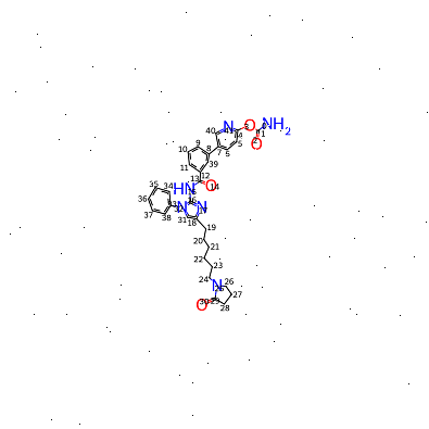 NC(=O)Oc1ccc(-c2cccc(C(=O)Nc3nc(CCCCCCN4CCCC4=O)cn3-c3ccccc3)c2)cn1